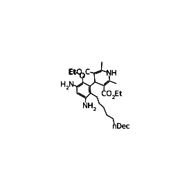 CCCCCCCCCCCCCCCc1c(N)cc(N)c(OCC)c1C1C(C(=O)OCC)=C(C)NC(C)=C1C(=O)OCC